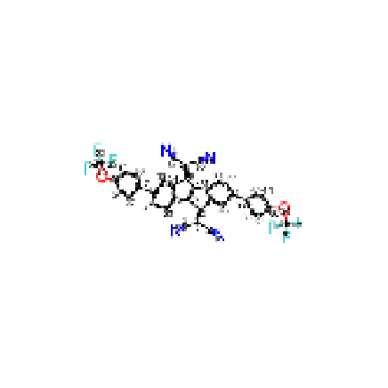 N#CC(C#N)=C1C2=C(C(=C(C#N)C#N)c3cc(-c4ccc(OC(F)(F)F)cc4)ccc32)c2ccc(-c3ccc(OC(F)(F)F)cc3)cc21